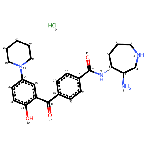 Cl.N[C@@H]1CNCCC[C@H]1NC(=O)c1ccc(C(=O)c2cc(N3CCCCC3)ccc2O)cc1